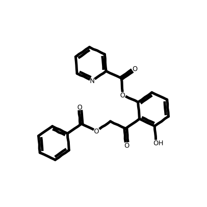 O=C(OCC(=O)c1c(O)cccc1OC(=O)c1ccccn1)c1ccccc1